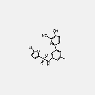 CCc1ccc(S(=O)(=O)Nc2cc(C)cc(-c3ccc(C#N)c(C#N)n3)c2)o1